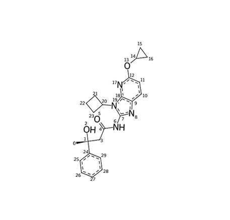 C[C@@](O)(CC(=O)Nc1nc2ccc(OC3CC3)nc2n1C1CCC1)c1ccccc1